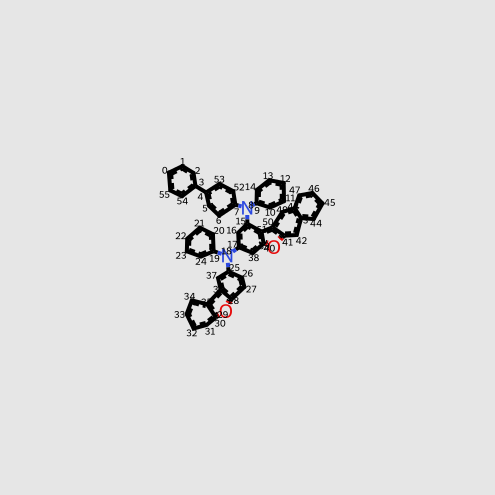 c1ccc(-c2ccc(N(c3ccccc3)c3cc(N(c4ccccc4)c4ccc5oc6ccccc6c5c4)cc4oc5cc6ccccc6cc5c34)cc2)cc1